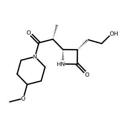 COC1CCN(C(=O)[C@H](C)[C@H]2NC(=O)[C@H]2CCO)CC1